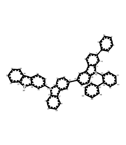 c1ccc(-c2ccc3c4cc(-c5ccc6c(c5)c5ccccc5n6-c5ccc6c(c5)oc5ccccc56)ccc4n(-c4ccccc4-c4ccccc4)c3c2)cc1